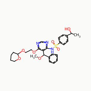 COC(c1ccccc1)c1c(NS(=O)(=O)c2ccc(C(C)O)cc2)ncnc1OCCOC1CCCCO1